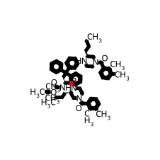 CCCC[C@H]1CN(C(=O)c2cccc(C)c2C)CCN1.CCCC[C@H]1CN(C(=O)c2cccc(C)c2C)CCN1C(=S)[C@@H](CC(c1ccccc1)(c1ccccc1)c1ccccc1)NC(=O)OC(C)(C)C